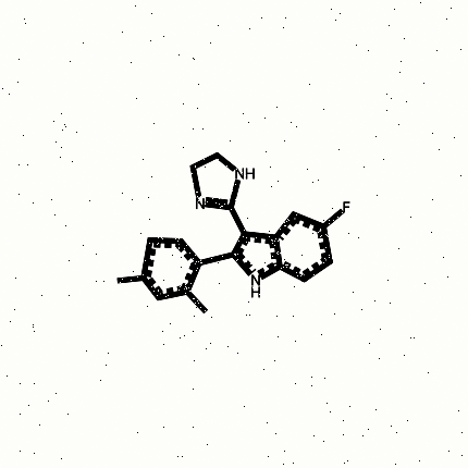 Cc1ccc(-c2[nH]c3ccc(F)cc3c2C2=NCCN2)c(C)c1